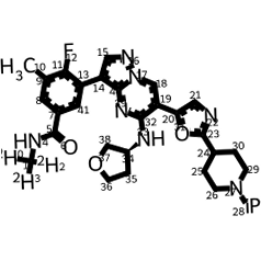 [2H]C([2H])([2H])NC(=O)c1cc(C)c(F)c(-c2cnn3cc(-c4cnc(C5CCN(C(C)C)CC5)o4)c(N[C@H]4CCOC4)nc23)c1